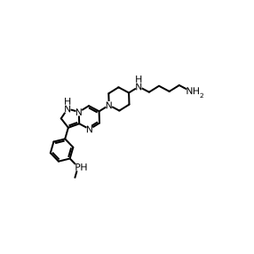 CPc1cccc(C2=C3N=CC(N4CCC(NCCCCN)CC4)=CN3NC2)c1